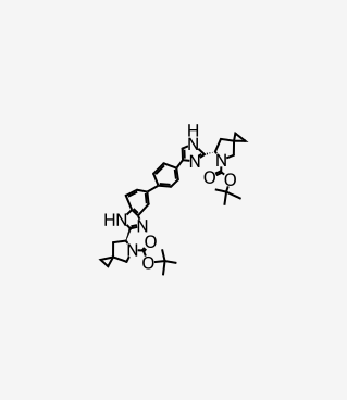 CC(C)(C)OC(=O)N1CC2(CC2)C[C@H]1c1nc(-c2ccc(-c3ccc4[nH]c([C@@H]5CC6(CC6)CN5C(=O)OC(C)(C)C)nc4c3)cc2)c[nH]1